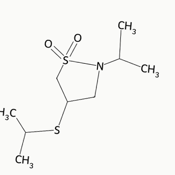 CC(C)SC1CN(C(C)C)S(=O)(=O)C1